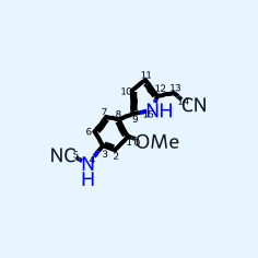 COc1cc(NC#N)ccc1-c1ccc(CC#N)[nH]1